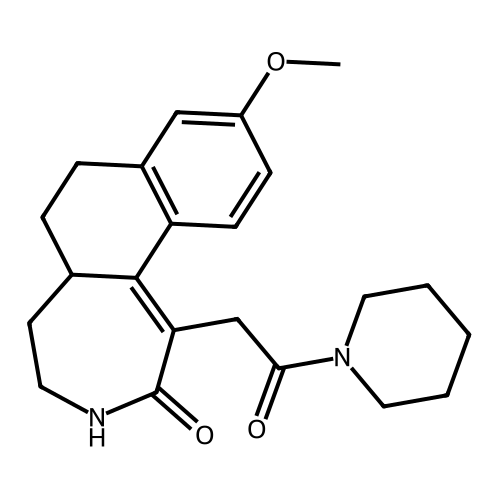 COc1ccc2c(c1)CCC1CCNC(=O)C(CC(=O)N3CCCCC3)=C21